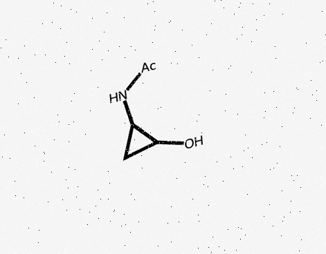 CC(=O)NC1CC1O